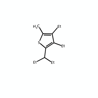 CCc1c(C)sc(C(CC)CC)c1CC